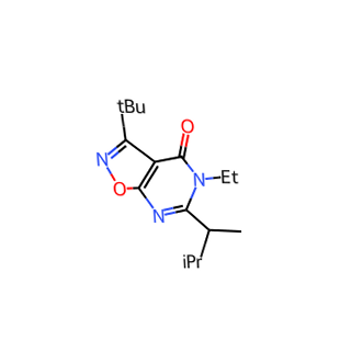 CCn1c(C(C)C(C)C)nc2onc(C(C)(C)C)c2c1=O